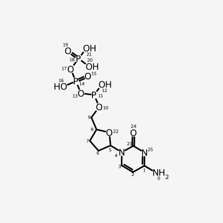 Nc1ccn(C2CCC(COP(O)OP(=O)(O)OP(=O)(O)O)O2)c(=O)n1